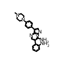 CN1CCN(c2ccc(-c3cnn4c(N)c(-c5ccccc5N)cnc34)cc2)CC1